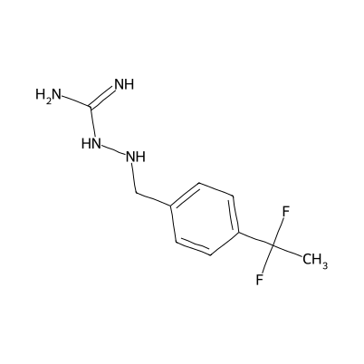 CC(F)(F)c1ccc(CNNC(=N)N)cc1